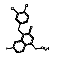 O=C(O)Cc1cc(=O)n(Cc2ccc(Cl)c(Cl)c2)c2cc(F)ccc12